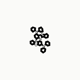 c1ccc(N(c2ccccc2)c2cc3c4c(c2)-n2c5c(ccc(N(c6ccccc6)c6ccccc6)c5c5sc6ccccc6c52)B4c2ccccc2O3)cc1